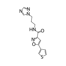 O=C(NCCCn1cncn1)c1cc(-c2ccsc2)on1